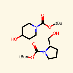 CC(C)(C)OC(=O)N1CCC(O)CC1.CC(C)(C)OC(=O)N1CCC[C@@H]1CO